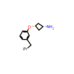 CC(C)Cc1cccc(O[C@H]2C[C@@H](N)C2)c1